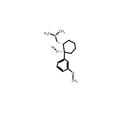 [2H]O[C@@]1(c2cccc(OC)c2)CCCC[C@H]1CN(C)C